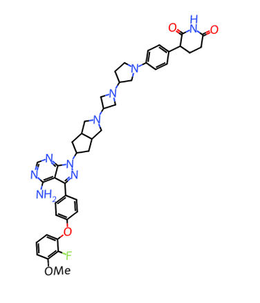 COc1cccc(Oc2ccc(-c3nn(C4CC5CN(C6CN(C7CCN(c8ccc(C9CCC(=O)NC9=O)cc8)C7)C6)CC5C4)c4ncnc(N)c34)cc2)c1F